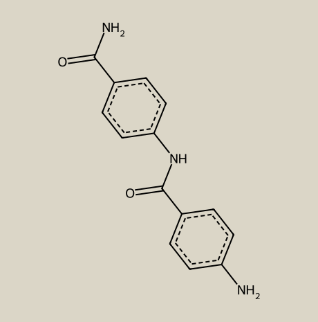 NC(=O)c1ccc(NC(=O)c2ccc(N)cc2)cc1